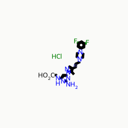 Cc1c(/C=C/CN2CCN(c3cc(F)cc(F)c3)CC2)cnn1-c1cc(NCC(=O)O)nc(N)n1.Cl